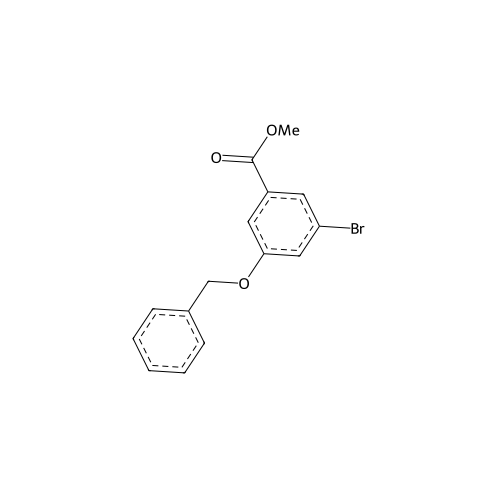 COC(=O)c1cc(Br)cc(OCc2ccccc2)c1